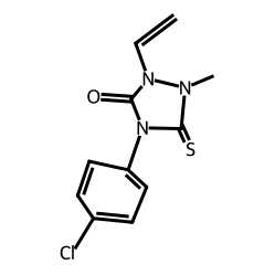 C=Cn1c(=O)n(-c2ccc(Cl)cc2)c(=S)n1C